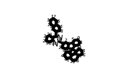 c1ccc2c(c1)-c1cc(-c3nc(-c4ccc5ccccc5c4)c4ccccc4n3)ccc1C21c2cccc3ccc4cccc1c4c23